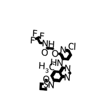 Cc1cc(N=S2(=O)CCC2)cc2ncnc(Nc3ccc(Cl)nc3OCC(=O)NCC(F)(F)F)c12